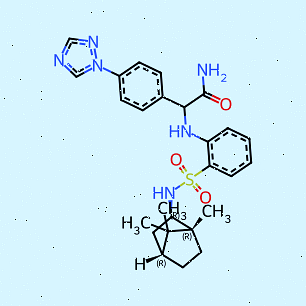 CC1(C)[C@@H]2CC[C@@]1(C)[C@H](NS(=O)(=O)c1ccccc1NC(C(N)=O)c1ccc(-n3cncn3)cc1)C2